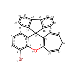 Brc1cccc2c1OC1=C(C=CCC=C1)C21c2ccccc2-c2ccccc21